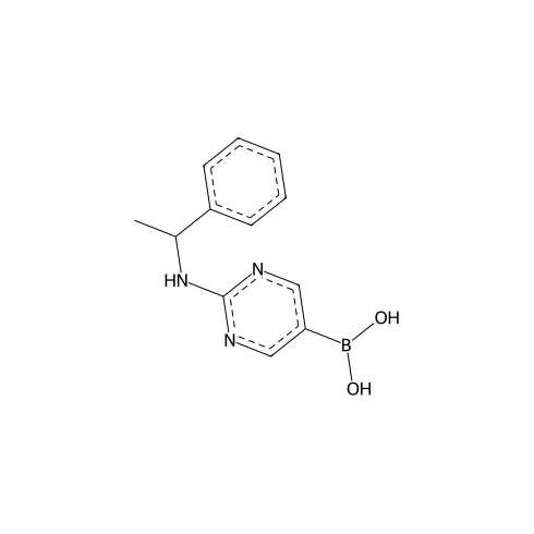 CC(Nc1ncc(B(O)O)cn1)c1ccccc1